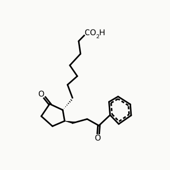 O=C(O)CCCCCC[C@H]1C(=O)CC[C@@H]1CCC(=O)c1ccccc1